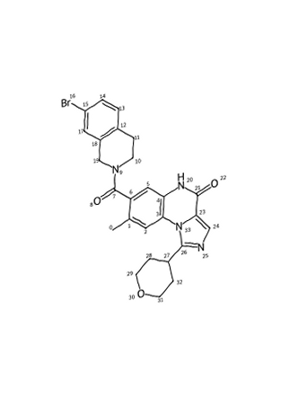 Cc1cc2c(cc1C(=O)N1CCc3ccc(Br)cc3C1)[nH]c(=O)c1cnc(C3CCOCC3)n12